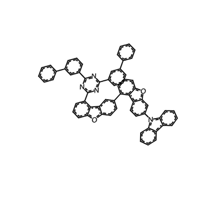 c1ccc(-c2cccc(-c3nc(-c4cccc(-c5ccccc5)c4)nc(-c4cccc5oc6ccc(-c7cccc8oc9cc(-n%10c%11ccccc%11c%11ccccc%11%10)ccc9c78)cc6c45)n3)c2)cc1